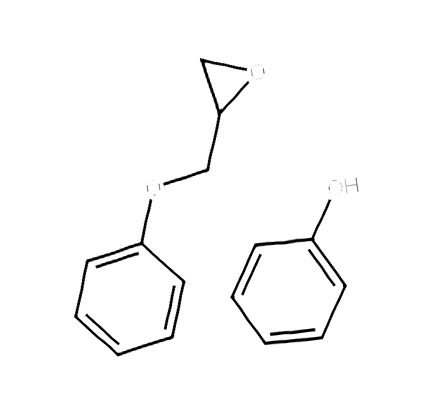 Oc1ccccc1.c1ccc(OCC2CO2)cc1